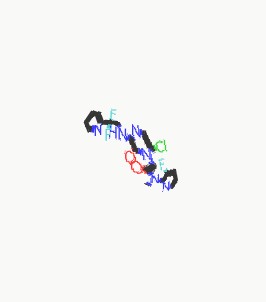 CN(C(=O)Cn1c(Cl)cnc(NCC(F)(F)c2ccccn2)c1=O)c1ncccc1F